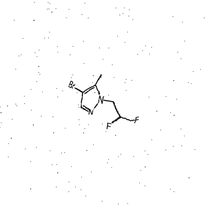 Cc1c(Br)[c]nn1CC(F)F